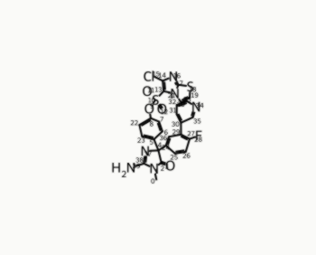 CN1C(=O)C(c2ccc(OS(=O)(=O)c3c(Cl)nc4sccn34)cc2)(c2ccc(F)c(-c3cccnc3)c2)N=C1N